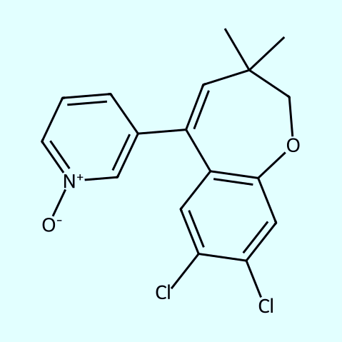 CC1(C)C=C(c2ccc[n+]([O-])c2)c2cc(Cl)c(Cl)cc2OC1